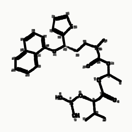 CC(OC(=O)[C@H](ON(O)O)C(C)C)OC(=O)N(C)CC[C@H](Oc1cccc2ccccc12)c1cccs1